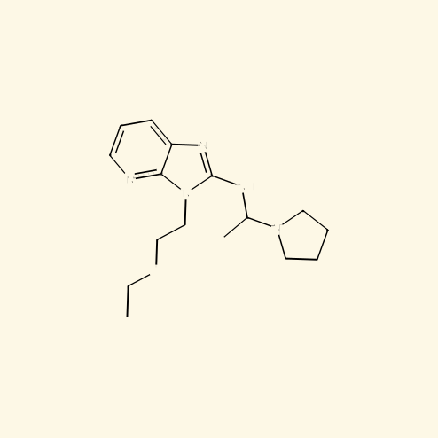 CCOCCn1c(NC(C)N2CCCC2)nc2cccnc21